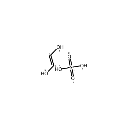 O=S(=O)(O)O.OC=CO